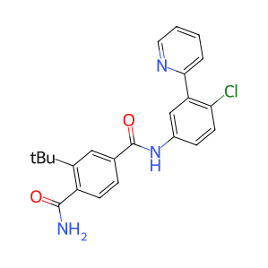 CC(C)(C)c1cc(C(=O)Nc2ccc(Cl)c(-c3ccccn3)c2)ccc1C(N)=O